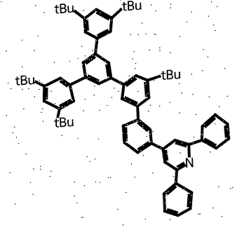 CC(C)(C)c1cc(-c2cccc(-c3cc(-c4ccccc4)nc(-c4ccccc4)c3)c2)cc(-c2cc(-c3cc(C(C)(C)C)cc(C(C)(C)C)c3)cc(-c3cc(C(C)(C)C)cc(C(C)(C)C)c3)c2)c1